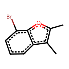 Cc1oc2c(Br)cc[c]c2c1C